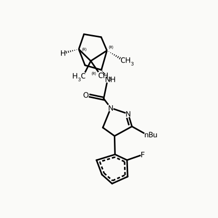 CCCCC1=NN(C(=O)N[C@@H]2C[C@H]3CC[C@]2(C)C3(C)C)CC1c1ccccc1F